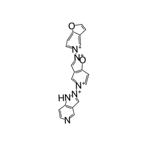 c1cc2[nH][n+](-[n+]3ccc4o[n+](-[n+]5ccc6occc6c5)cc4c3)cc2cn1